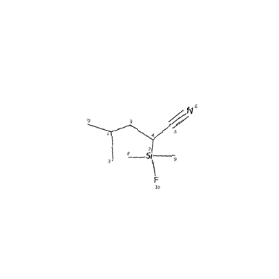 CC(C)CC(C#N)[Si](C)(C)F